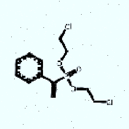 C=C(c1ccccc1)P(=O)(OCCCl)OCCCl